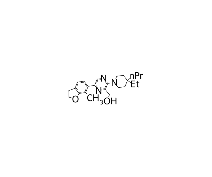 CCCC1(CC)CCN(c2ncc(-c3ccc4c(c3C)OCC4)nc2CO)CC1